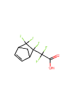 O=C(O)C(F)(F)C1(F)C2C=CC(C2)C1(F)F